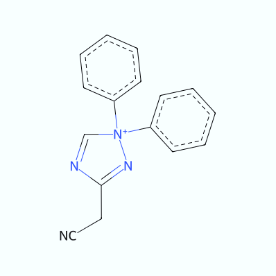 N#CCC1=N[N+](c2ccccc2)(c2ccccc2)C=N1